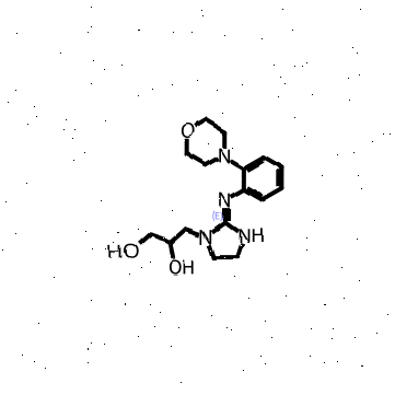 OCC(O)CN1CCN/C1=N\c1ccccc1N1CCOCC1